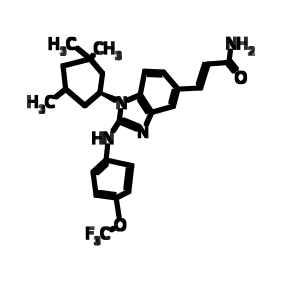 CC1C[C@H](n2c(Nc3ccc(OC(F)(F)F)cc3)nc3cc(/C=C/C(N)=O)ccc32)CC(C)(C)C1